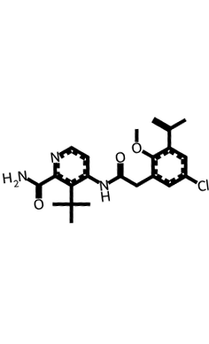 C=C(C)c1cc(Cl)cc(CC(=O)Nc2ccnc(C(N)=O)c2C(C)(C)C)c1OC